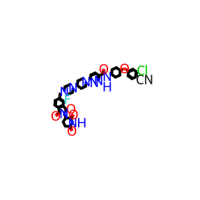 N#Cc1ccc(OC2CCC(NC(=O)c3ccc(N4CCC(N5CCN(Cc6ccc7c(c6F)C(=O)N(C6CCC(=O)NC6=O)C7=O)CC5)CC4)nn3)CC2)cc1Cl